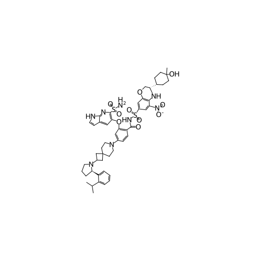 CC(C)c1ccccc1[C@H]1CCCN1C1CC2(CCN(c3ccc(C(=O)NS(=O)(=O)c4cc5c(c([N+](=O)[O-])c4)N[C@@H](C4CCC(C)(O)CC4)CO5)c(Oc4cc5cc[nH]c5nc4S(N)(=O)=O)c3)CC2)C1